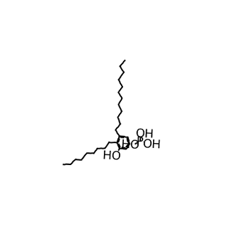 CCCCCCCCCCCCc1cccc(O)c1CCCCCCCCC.OP(O)O